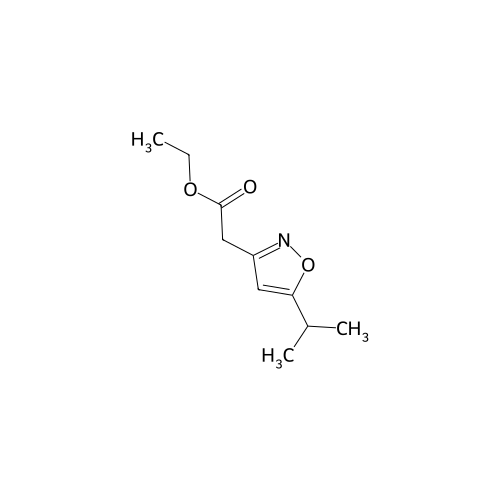 CCOC(=O)Cc1cc(C(C)C)on1